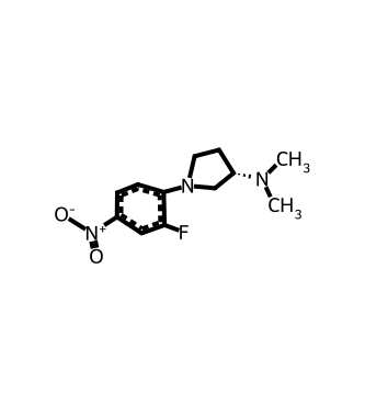 CN(C)[C@H]1CCN(c2ccc([N+](=O)[O-])cc2F)C1